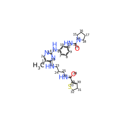 Cc1cnc(Nc2cccc(NC(=O)N3CCCC3)c2)nc1NCCCNC(=O)C1=CCCS1